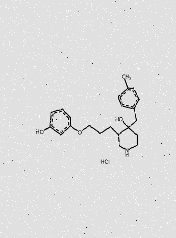 Cc1ccc(CC2(O)CCNCC2CCCOc2cccc(O)c2)cc1.Cl